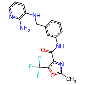 Cc1nc(C(=O)Nc2cccc(CNc3cccnc3N)c2)c(C(F)(F)F)o1